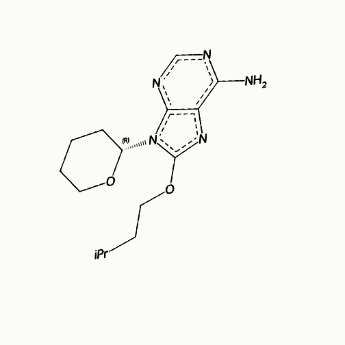 CC(C)CCOc1nc2c(N)ncnc2n1[C@H]1CCCCO1